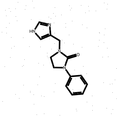 O=C1N(Cc2c[nH]cn2)CCN1c1ccccc1